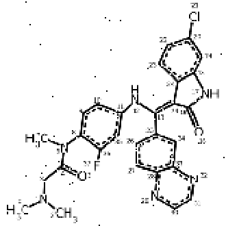 CN(C)CC(=O)N(C)c1ccc(NC(=C2C(=O)Nc3cc(Cl)ccc32)c2ccc3nccnc3c2)cc1F